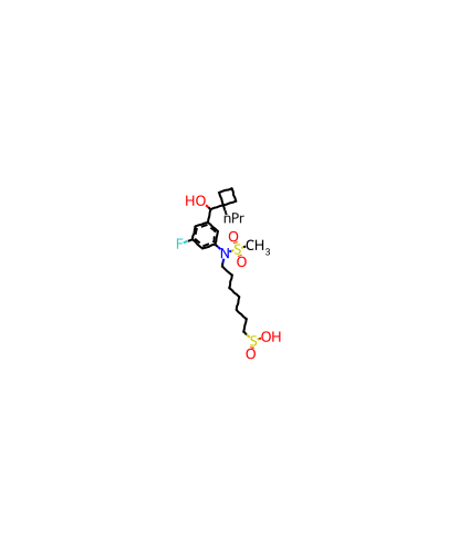 CCCC1(C(O)c2cc(F)cc(N(CCCCCCCS(=O)O)S(C)(=O)=O)c2)CCC1